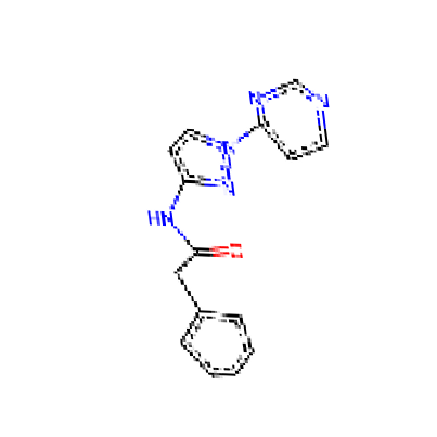 O=C(Cc1ccccc1)Nc1ccn(-c2ccncn2)n1